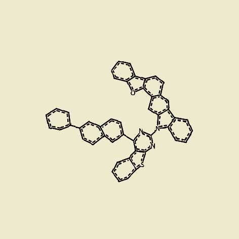 c1ccc(-c2ccc3cc(-c4nc(-n5c6ccccc6c6cc7ccc8c9ccccc9oc8c7cc65)nc5sc6ccccc6c45)ccc3c2)cc1